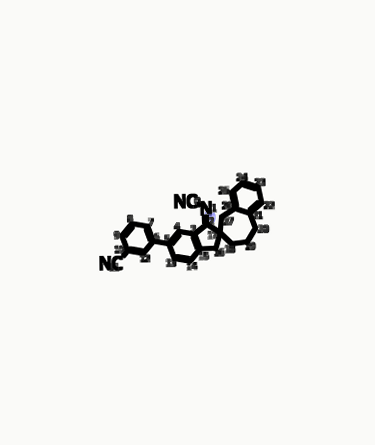 N#C/N=C1\c2cc(-c3cccc(C#N)c3)ccc2CC12CCCc1ccccc1C2